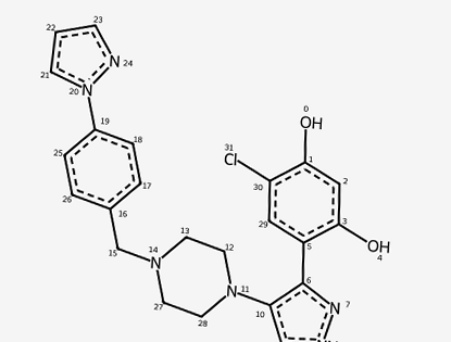 Oc1cc(O)c(-c2n[nH]cc2N2CCN(Cc3ccc(-n4cccn4)cc3)CC2)cc1Cl